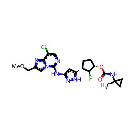 COCc1cn2c(Nc3cc([C@@H]4CC[C@H](OC(=O)NC5(C)CC5)[C@H]4F)[nH]n3)ncc(Cl)c2n1